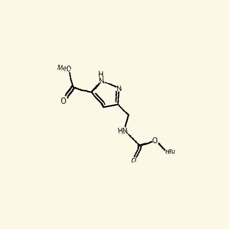 COC(=O)c1cc(CNC(=O)OC(C)(C)C)n[nH]1